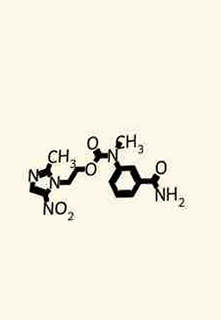 Cc1ncc([N+](=O)[O-])n1CCOC(=O)N(C)c1cccc(C(N)=O)c1